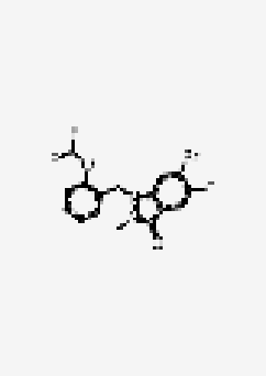 Cn1c(=O)c2cc(F)c(Br)cc2n1Cc1ccccc1OC(F)F